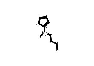 CCC[CH2][Mn]([CH3])[C]1=CC=CC1